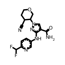 N#CC1CCOCC1n1cc(C(N)=O)c(Nc2ccc(C(F)F)nc2)n1